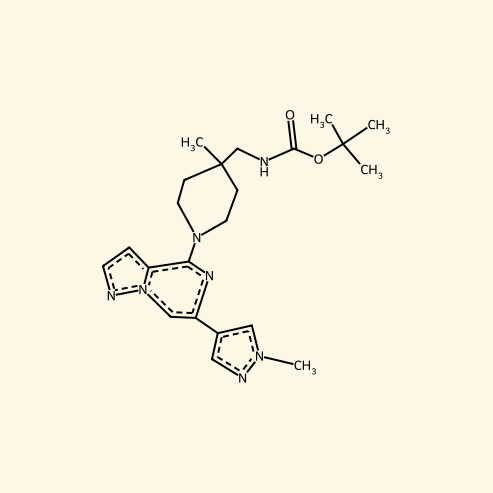 Cn1cc(-c2cn3nccc3c(N3CCC(C)(CNC(=O)OC(C)(C)C)CC3)n2)cn1